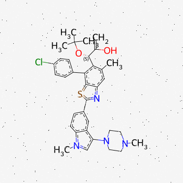 C=C(O)[C@@H](OC(C)(C)C)c1c(C)cc2nc(-c3ccc4c(c3)c(N3CCN(C)CC3)cn4C)sc2c1-c1ccc(Cl)cc1